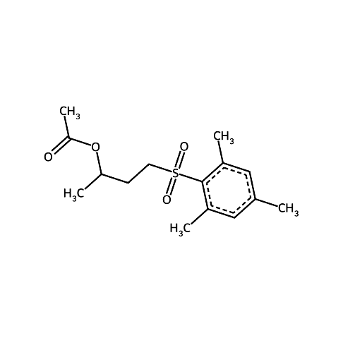 CC(=O)OC(C)CCS(=O)(=O)c1c(C)cc(C)cc1C